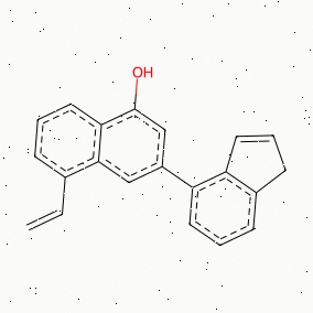 C=Cc1cccc2c(O)cc(-c3cccc4c3C=CC4)cc12